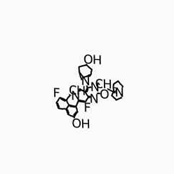 C#Cc1c(F)ccc2cc(O)cc(C3=C(F)C(=N/COCC45CCCN4CCC5)/C(=C(\N=C)N4CC5CC(O)CC4C5)C=N3)c12